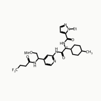 CCn1nccc1C(=O)N[C@H](C(=O)Nc1cc(C(COC)NC(=O)CCC(F)(F)F)ccn1)C1CCC(C)CC1